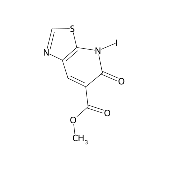 COC(=O)c1cc2ncsc2n(I)c1=O